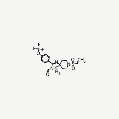 C=CS(=O)(=O)N1CCC(C)(/N=C(\NC=O)c2ccc(OC(F)(F)F)cc2)CC1